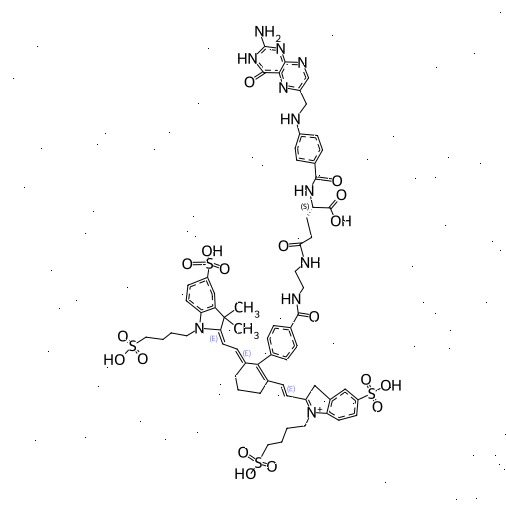 CC1(C)/C(=C\C=C2/CCCC(/C=C/C3=[N+](CCCCS(=O)(=O)O)c4ccc(S(=O)(=O)O)cc4C3)=C2c2ccc(C(=O)NCCNC(=O)CC[C@H](NC(=O)c3ccc(NCc4cnc5nc(N)[nH]c(=O)c5n4)cc3)C(=O)O)cc2)N(CCCCS(=O)(=O)O)c2ccc(S(=O)(=O)O)cc21